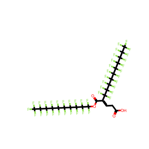 O=C(O)CC=C(C(=O)OC(F)(F)C(F)(F)C(F)(F)C(F)(F)C(F)(F)C(F)(F)C(F)(F)C(F)(F)C(F)(F)C(F)(F)F)C(F)(F)C(F)(F)C(F)(F)C(F)(F)C(F)(F)C(F)(F)C(F)(F)C(F)(F)C(F)(F)C(F)(F)F